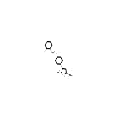 Cc1ccccc1CNc1ccc(-c2cc(C(F)(F)F)nn2C)cc1